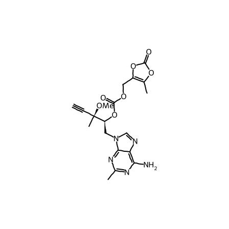 C#C[C@](C)(OC)[C@H](Cn1cnc2c(N)nc(C)nc21)OC(=O)OCc1oc(=O)oc1C